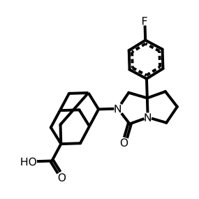 O=C1N(C2C3CC4CC2CC(C(=O)O)(C4)C3)CC2(c3ccc(F)cc3)CCCN12